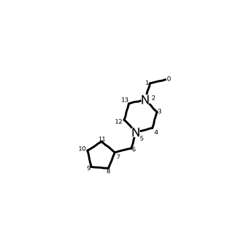 CCN1CCN(CC2CCCC2)CC1